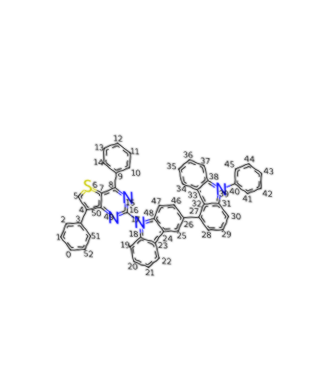 c1ccc(-c2csc3c(-c4ccccc4)nc(-n4c5ccccc5c5cc(-c6cccc7c6c6ccccc6n7-c6ccccc6)ccc54)nc23)cc1